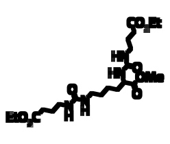 CCOC(=O)CCCNC(=O)NCCCCC(NC(=O)NCCCC(=O)OCC)C(=O)OC